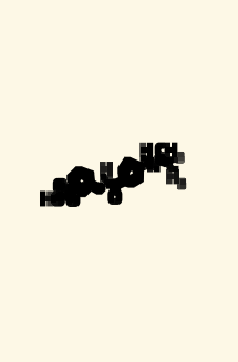 CC(C)=NNc1ccc(C(=O)NCc2cccc(S(=O)(=O)O)c2)cc1